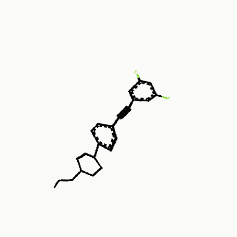 CCCC1CCC(c2ccc(C#Cc3cc(F)cc(F)c3)cc2)CC1